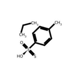 CCC.Cc1ccc([S@](=O)(O)=S)cc1